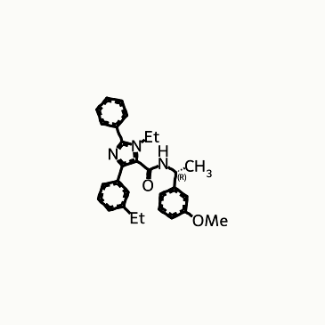 CCc1cccc(-c2nc(-c3ccccc3)n(CC)c2C(=O)N[C@H](C)c2cccc(OC)c2)c1